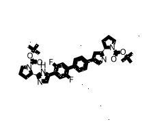 CC(C)(C)OC(=O)N1CCC[C@H]1C1=NC=C(c2ccc(-c3cc(F)c(-c4cnc([C@@H]5CCCN5C(=O)OC(C)(C)C)[nH]4)cc3F)cc2)C1